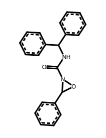 O=C(NC(c1ccccc1)c1ccccc1)N1OC1c1ccccc1